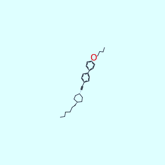 CCCCCC[C@H]1CC[C@H](C#Cc2ccc(-c3ccc(OCCCC)cc3)cc2)CC1